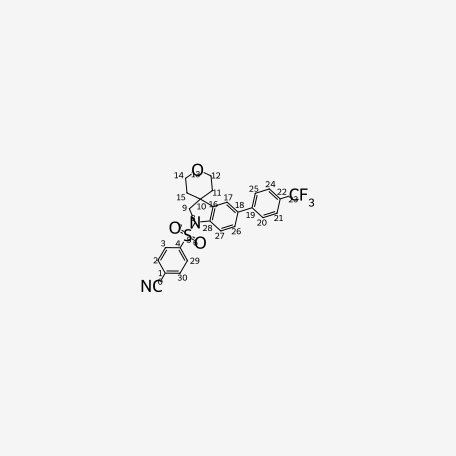 N#Cc1ccc(S(=O)(=O)N2CC3(CCOCC3)c3cc(-c4ccc(C(F)(F)F)cc4)ccc32)cc1